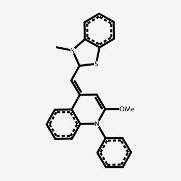 COC1=CC(=CC2Sc3ccccc3N2C)c2ccccc2N1c1ccccc1